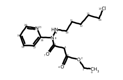 CCOC(=O)CC(=O)N(NCCCCCCl)c1ccccn1